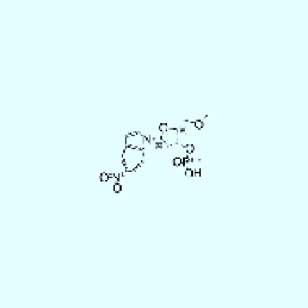 COC[C@H]1O[C@@H](n2ccc3cc([N+](=O)[O-])ccc32)CC1O[P@](C)(=O)O